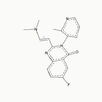 Cc1ncccc1-n1c(/C=C/N(C)C)nc2ccc(F)cc2c1=O